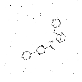 S=C(NC1C2CCN(CC2)C1Cc1cccnc1)c1ccc(-c2ccccc2)cc1